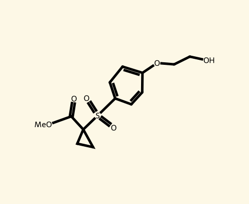 COC(=O)C1(S(=O)(=O)c2ccc(OCCO)cc2)CC1